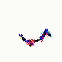 Cc1ncsc1-c1ccc([C@H](C)NC(=O)[C@@H]2C[C@@H](O)CN2C(=O)[C@@H](c2cc(OCCCCCCCCC(=O)N3CCN(c4ncc(-c5cc(NC(=O)c6ccc(F)cc6C(F)(F)F)c(N6C[C@@H](C)N(C)[C@@H](C)C6)cc5F)cn4)CC3)no2)C(C)C)cc1